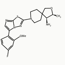 COc1cc(F)ccc1-c1cnc2sc(N3CCC4(CC3)CO[C@@H](C)[C@H]4N)nn12